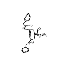 NC(=O)C1CC(NCc2ccccc2)CC(NC(=O)Cc2ccccc2)C1